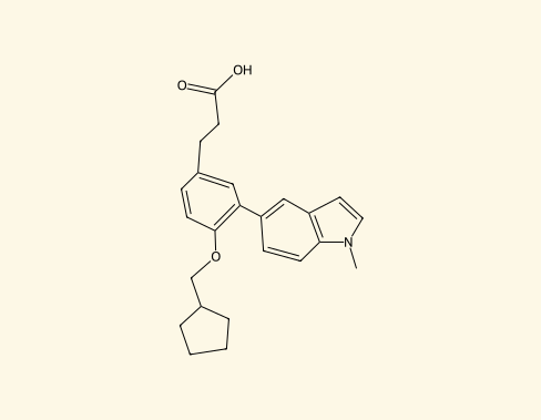 Cn1ccc2cc(-c3cc(CCC(=O)O)ccc3OCC3CCCC3)ccc21